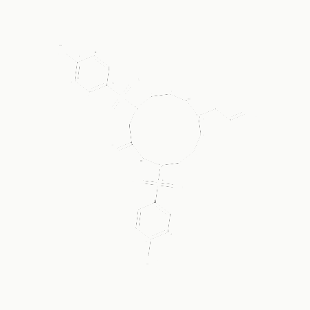 C=CCN1CCCN(S(=O)(=O)c2ccc(C)cc2)CC(=C)CN(S(=O)(=O)c2ccc(C)cc2)CCC1